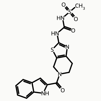 CS(=O)(=O)NC(=O)Nc1nc2c(s1)CN(C(=O)c1cc3ccccc3[nH]1)CC2